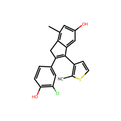 Cc1cc(O)cc2c1CC(c1ccc(O)c(Cl)c1)=C2c1ccsc1C#N